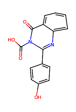 O=C(O)n1c(-c2ccc(O)cc2)nc2ccccc2c1=O